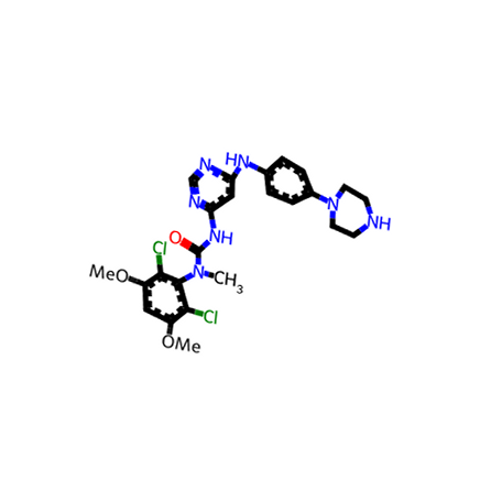 COc1cc(OC)c(Cl)c(N(C)C(=O)Nc2cc(Nc3ccc(N4CCNCC4)cc3)ncn2)c1Cl